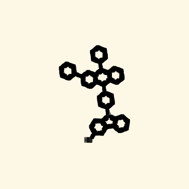 Sc1ccc2c(c1)c1ccccc1n2-c1ccc(-c2c3ccccc3c(-c3ccccc3)c3cc(-c4ccccc4)ccc23)cc1